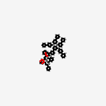 c1ccc(-c2ccc(N3c4ccc(-c5ccccc5)cc4B4c5cc(-c6ccccc6)ccc5N(c5ccc(-c6ccccc6)cc5)c5cc(-c6ccc7c(c6)c6ccccc6n7-c6cccc(-c7nc(-c8ccccc8)cc(-c8ccccc8)n7)c6-c6nc(-c7ccccc7)cc(-c7ccccc7)n6)cc3c54)cc2)cc1